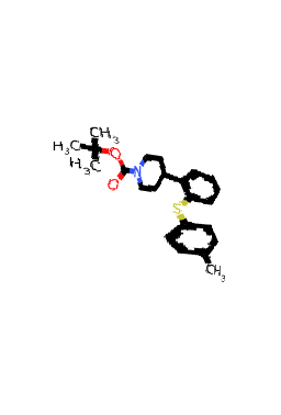 Cc1ccc(Sc2ccccc2C2CCN(C(=O)OC(C)(C)C)CC2)cc1